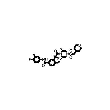 Cc1cc(NC(=O)c2ccc(F)c(C(F)(F)C(=O)N3[C@H](C)CN(S(=O)(=O)CC4CCOCC4)C[C@@H]3C)c2)ccc1F